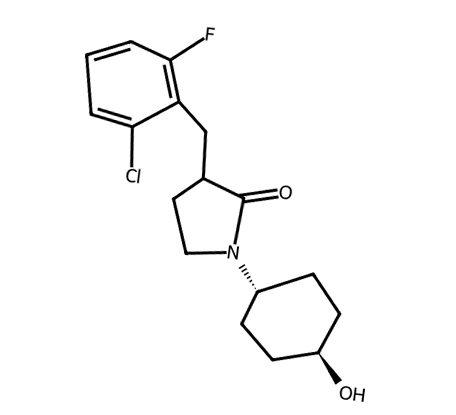 O=C1C(Cc2c(F)cccc2Cl)CCN1[C@H]1CC[C@H](O)CC1